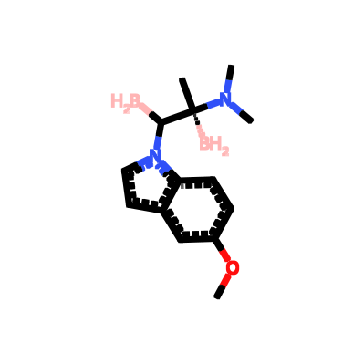 BC(n1ccc2cc(OC)ccc21)[C@@](B)(C)N(C)C